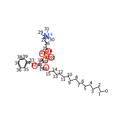 CCCCCCCCCCCCCCCCOCC(COP(=O)([O-])OCCC[N+](C)(C)C)OCc1ccccc1